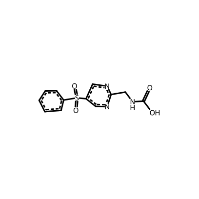 O=C(O)NCc1ncc(S(=O)(=O)c2ccccc2)cn1